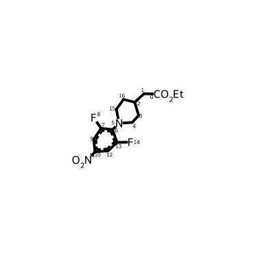 CCOC(=O)CC1CCN(c2c(F)cc([N+](=O)[O-])cc2F)CC1